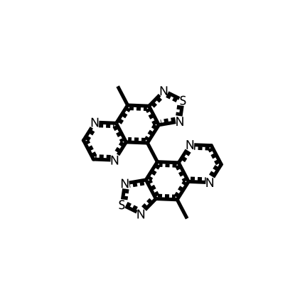 Cc1c2nccnc2c(-c2c3nccnc3c(C)c3nsnc23)c2nsnc12